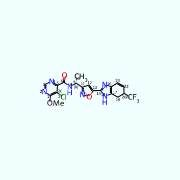 COc1ncnc(C(=O)N[C@H](C)c2cc(-c3nc4c([nH]3)CC(C(F)(F)F)C=C4)on2)c1Cl